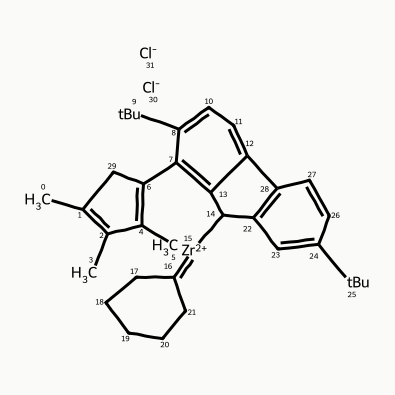 CC1=C(C)C(C)=C(c2c(C(C)(C)C)ccc3c2[CH]([Zr+2]=[C]2CCCCC2)c2cc(C(C)(C)C)ccc2-3)C1.[Cl-].[Cl-]